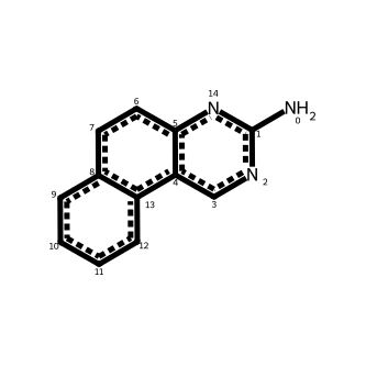 Nc1ncc2c(ccc3ccccc32)n1